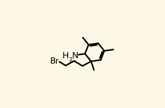 CC1=CC(C)(CCCBr)C(N)C(C)=C1